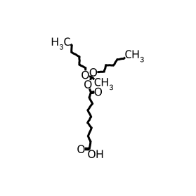 CCCCCCOC(C)(OCCCCCC)OC(=O)CCCCCCCCC(=O)O